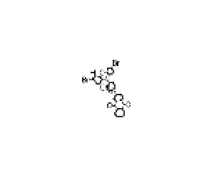 Cc1cc(Br)ccc1N(c1ccc(-c2ccc3c(c2)C(=O)c2ccccc2C3=O)cc1)c1ccc(Br)cc1C